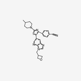 CC1CCN(c2nc(-c3ccc(C#N)cc3)c(-c3cnc4c(c3)ncn4CC3COC3)s2)CC1